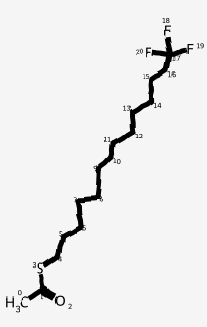 CC(=O)SCCCCCCCCCCCCCC(F)(F)F